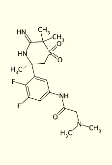 CN(C)CC(=O)Nc1cc(F)c(F)c([C@]2(C)CS(=O)(=O)C(C)(C)C(=N)N2)c1